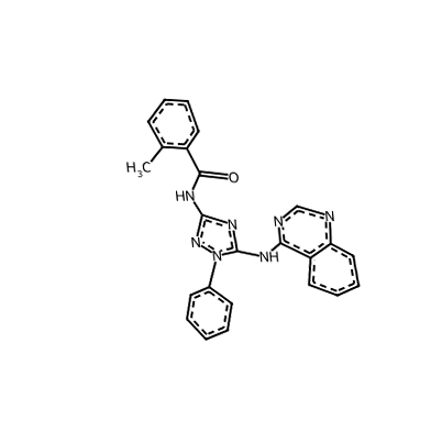 Cc1ccccc1C(=O)Nc1nc(Nc2ncnc3ccccc23)n(-c2ccccc2)n1